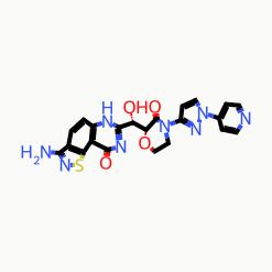 Nc1nsc2c1ccc1[nH]c([C@H](O)[C@H]3OCCN(c4ccn(-c5ccncc5)n4)C3=O)nc(=O)c12